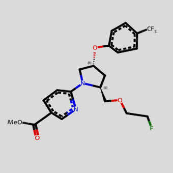 COC(=O)c1ccc(N2C[C@H](Oc3ccc(C(F)(F)F)cc3)C[C@H]2COCCF)nc1